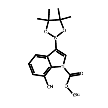 CC(C)(C)OC(=O)n1cc(B2OC(C)(C)C(C)(C)O2)c2cccc(C#N)c21